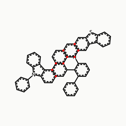 c1ccc(-c2ccccc2-c2c(-c3ccccc3)cccc2N(c2cccc(-c3cccc4c3c3ccccc3n4-c3ccccc3)c2)c2ccc3sc4ccccc4c3c2)cc1